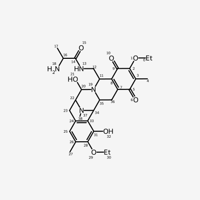 CCOC1=C(C)C(=O)C2=C(C1=O)C(CNC(=O)C(C)N)N1C(O)C3Cc4cc(C)c(OCC)c(O)c4C(C1C2)N3C